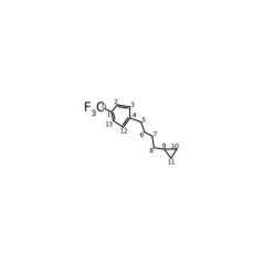 FC(F)(F)c1ccc(CCCCC2CC2)cc1